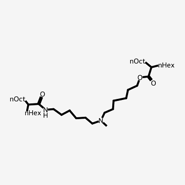 CCCCCCCCC(CCCCCC)C(=O)NCCCCCCN(C)CCCCCCOC(=O)C(CCCCCC)CCCCCCCC